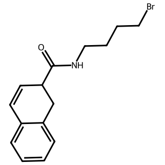 O=C(NCCCCBr)C1C=Cc2ccccc2C1